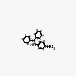 O=[N+]([O-])c1ccc(NN(c2ccccc2)c2ccccc2)cc1